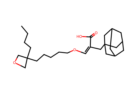 CCCCC1(CCCCCOC=C(CC23CC4CC(CC(C4)C2)C3)C(=O)O)COC1